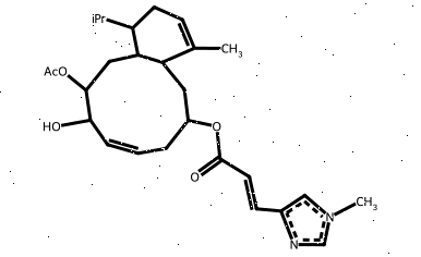 CC(=O)OC1CC2C(CC(OC(=O)/C=C/c3cn(C)cn3)C/C=C\C1O)C(C)=CCC2C(C)C